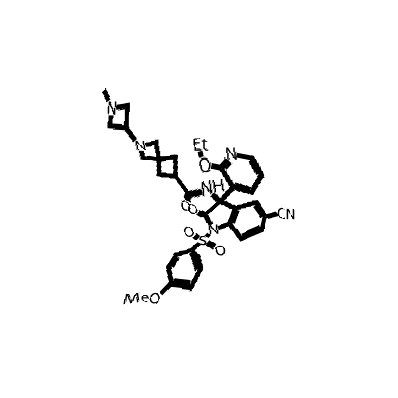 CCOc1ncccc1C1(NC(=O)C2CC3(C2)CN(C2CN(C)C2)C3)C(=O)N(S(=O)(=O)c2ccc(OC)cc2)c2ccc(C#N)cc21